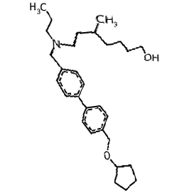 CCCN(CCC(C)CCCCO)Cc1ccc(-c2ccc(COC3CCCC3)cc2)cc1